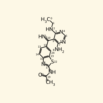 CCNc1ncnc(N)c1C(=N)c1ccc2nc(NC(C)=O)sc2c1